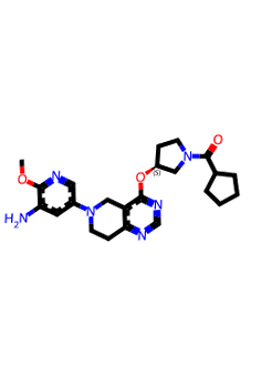 COc1ncc(N2CCc3ncnc(O[C@H]4CCN(C(=O)C5CCCC5)C4)c3C2)cc1N